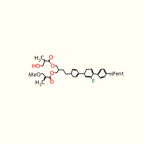 C=C(CO)C(=O)OCC(CCC1C=CC(C2C=C(F)C(c3ccc(CCCCC)cc3)=CC2)=CC1)COC(=O)C(=C)COC